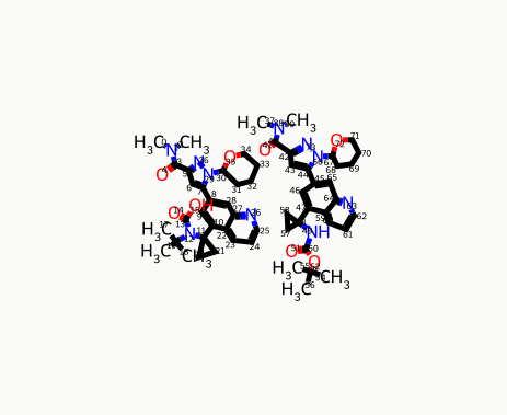 CN(C)C(=O)c1cc(-c2cc(C3(N(C(=O)O)C(C)(C)C)CC3)c3cccnc3c2)n(C2CCCCO2)n1.CN(C)C(=O)c1cc(-c2cc(C3(NC(=O)OC(C)(C)C)CC3)c3cccnc3c2)n(C2CCCCO2)n1